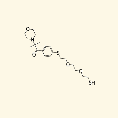 CC(C)(C(=O)c1ccc(SCCOCCOCCS)cc1)N1CCOCC1